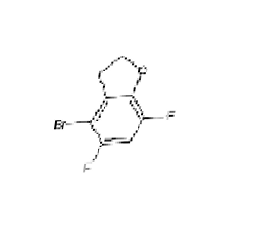 Fc1cc(F)c2c(c1Br)CCO2